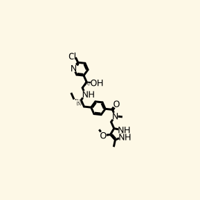 CC[C@@H](Cc1ccc(C(=O)N(C)CC2NNC(C)=C2OC)cc1)NC[C@H](O)c1ccc(Cl)nc1